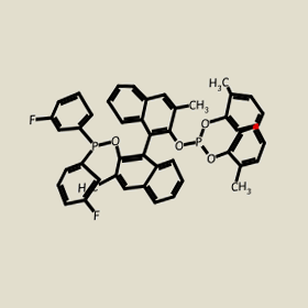 Cc1ccccc1OP(Oc1ccccc1C)Oc1c(C)cc2ccccc2c1-c1c(OP(c2cccc(F)c2)c2cccc(F)c2)c(C)cc2ccccc12